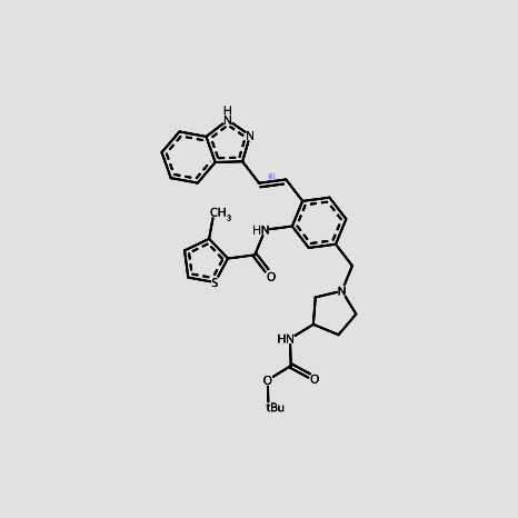 Cc1ccsc1C(=O)Nc1cc(CN2CCC(NC(=O)OC(C)(C)C)C2)ccc1/C=C/c1n[nH]c2ccccc12